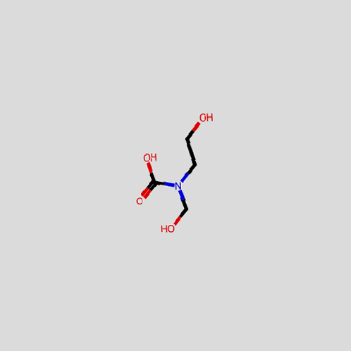 O=C(O)N(CO)CCO